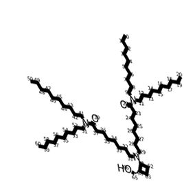 CCCCCCCCCCN(CCCCCCCCCC)C(=O)CCCCCCCN(CCCCCCCC(=O)N(CCCCCCCCCC)CCCCCCCCCC)[C@@H]1CC[C@@H]1CO